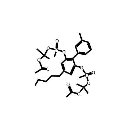 CCCCCc1cc(OP(C)(=O)OC(C)(C)OC(C)=O)c(-c2cccc(C)c2)c(OP(C)(=O)OC(C)(C)OC(C)=O)c1